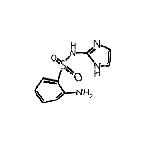 Nc1ccccc1S(=O)(=O)Nc1ncc[nH]1